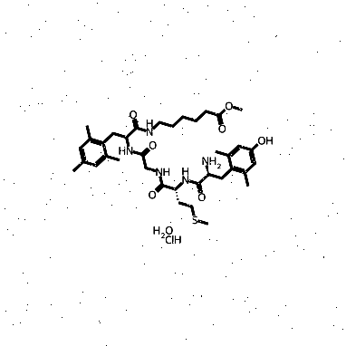 COC(=O)CCCCCNC(=O)C(Cc1c(C)cc(C)cc1C)NC(=O)CNC(=O)[C@@H](CCSC)NC(=O)[C@@H](N)Cc1c(C)cc(O)cc1C.Cl.O